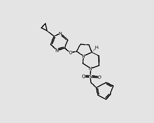 O=S(=O)(Cc1ccccc1)N1CC[C@@H]2CC[C@H](Oc3cnc(C4CC4)cn3)N2C1